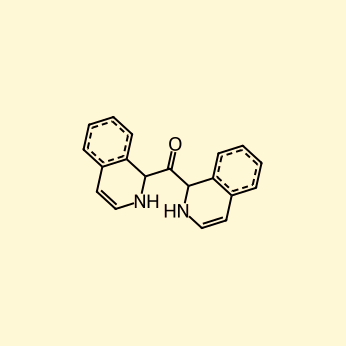 O=C(C1NC=Cc2ccccc21)C1NC=Cc2ccccc21